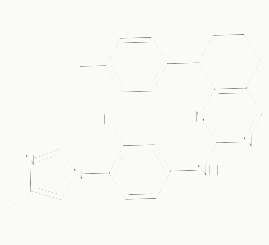 Cc1cn(-c2ccc(Nc3ncc4c(n3)C(c3ccc(F)cc3)CCC4)cc2F)cn1